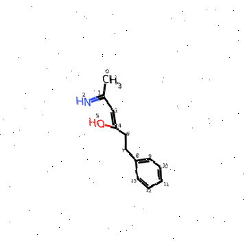 CC(=N)/C=C(\O)CCc1ccccc1